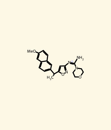 COc1ccc2cc(C(C)c3cc(/N=C(/N)N4CCOCC4)no3)ccc2c1